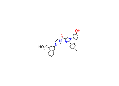 Cc1ccc(-c2nc(C(=O)N3CCN(c4cc(C(=O)O)c5ccccc5c4)CC3)cn2-c2cccc(O)c2)cc1